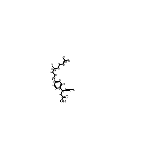 CC#CC(CC(=O)O)c1ccc(OCC[C@@H](C)CCC=C(C)C)cc1